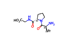 CCC[C@H](N)C(=O)N1CCC[C@H]1C(=O)NCC(=O)O